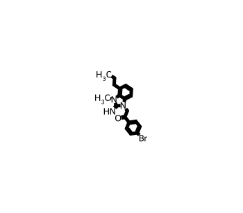 CCCc1cccc2c1n(C)c(=N)n2CC(=O)c1ccc(Br)cc1